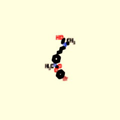 CCN(CCO)CCCC[C@H]1CC[C@H](N(C)C(=O)Oc2ccc(Br)cc2)CC1